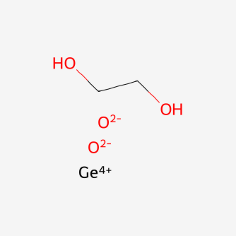 OCCO.[Ge+4].[O-2].[O-2]